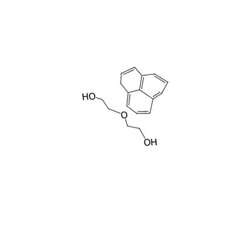 C1=Cc2cccc3cccc(c23)C1.OCCOCCO